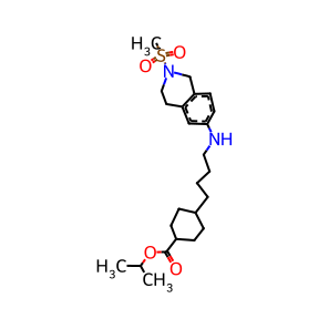 CC(C)OC(=O)C1CCC(CCCCNc2ccc3c(c2)CCN(S(C)(=O)=O)C3)CC1